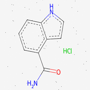 Cl.NC(=O)c1cccc2[nH]ccc12